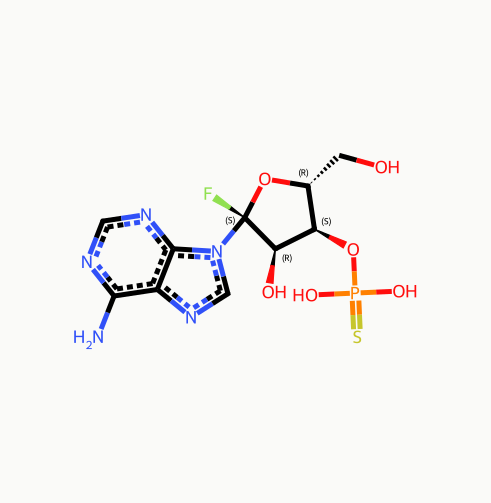 Nc1ncnc2c1ncn2[C@]1(F)O[C@H](CO)[C@@H](OP(O)(O)=S)[C@H]1O